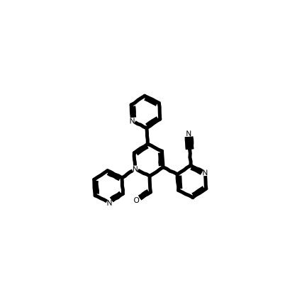 N#Cc1ncccc1C1=CC(c2ccccn2)=CN(c2cccnc2)C1C=O